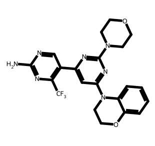 Nc1ncc(-c2cc(N3CCOc4ccccc43)nc(N3CCOCC3)n2)c(C(F)(F)F)n1